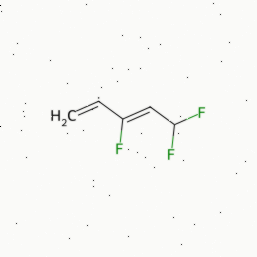 C=[C]C(F)=CC(F)F